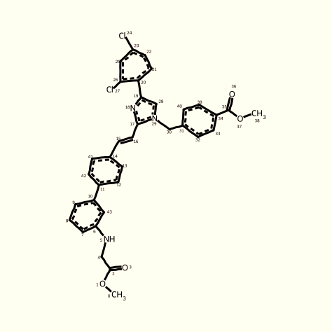 COC(=O)CNc1cccc(-c2ccc(C=Cc3nc(-c4ccc(Cl)cc4Cl)cn3Cc3ccc(C(=O)OC)cc3)cc2)c1